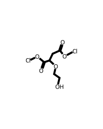 O=C(CC(OCCO)C(=O)OCl)OCl